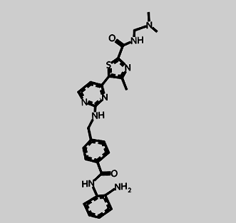 Cc1nc(C(=O)NCN(C)C)sc1-c1ccnc(NCc2ccc(C(=O)Nc3ccccc3N)cc2)n1